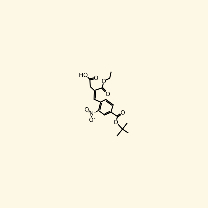 CCOC(=O)C(=Cc1ccc(C(=O)OC(C)(C)C)cc1[N+](=O)[O-])CC(=O)O